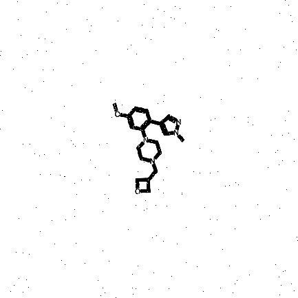 COc1ccc(-c2cnn(C)c2)c(N2CCN(CC3COC3)CC2)c1